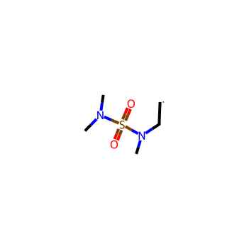 [CH2]CN(C)S(=O)(=O)N(C)C